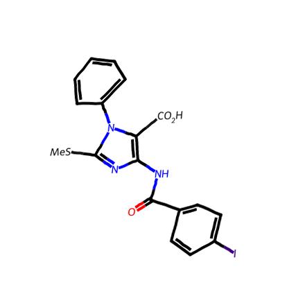 CSc1nc(NC(=O)c2ccc(I)cc2)c(C(=O)O)n1-c1ccccc1